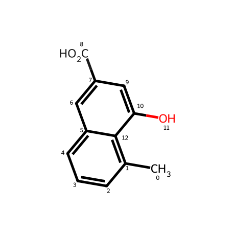 Cc1cccc2cc(C(=O)O)cc(O)c12